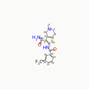 CN1CCc2sc(NC(=O)c3cccc(C(F)(F)F)c3)c(C(N)=O)c2C1